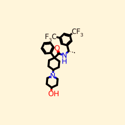 C[C@H](NC(=O)C1(c2ccccc2)CCC(N2CCC(O)CC2)CC1)c1cc(C(F)(F)F)cc(C(F)(F)F)c1